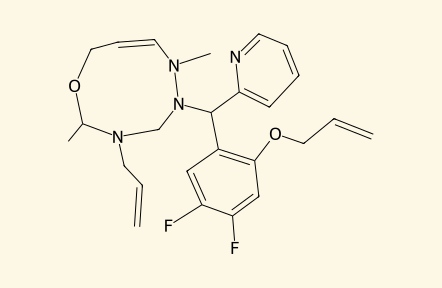 C=CCOc1cc(F)c(F)cc1C(c1ccccn1)N1CN(CC=C)C(C)OC/C=C\N1C